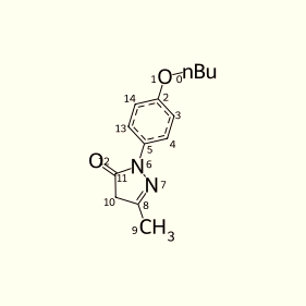 CCCCOc1ccc(N2N=C(C)CC2=O)cc1